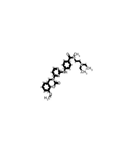 CCN(CC)CCN(C)C(=O)c1ccc(Nc2nccc(N(Cc3cccc(OC)c3)C(=O)O)n2)cc1